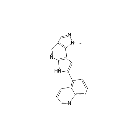 Cn1ncc2cnc3[nH]c(-c4cccc5ncccc45)cc3c21